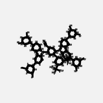 Cc1cc(C)cc(-c2ccc3c(c2)c2cc(-c4cc(C)cc(C)c4)ccc2n3-c2cc(-c3cc(C(F)(F)F)cc(C(F)(F)F)c3)c(-n3c4ccc(-c5cc(C)cc(C)c5)cc4c4cc(-c5cc(C)cc(C)c5)ccc43)cc2C#N)c1